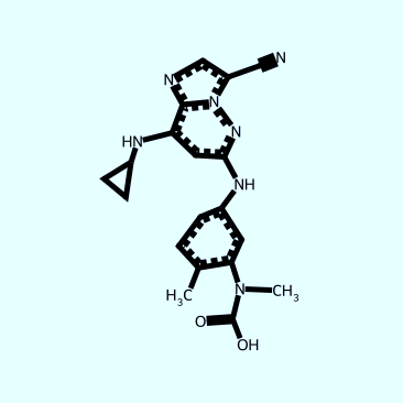 Cc1ccc(Nc2cc(NC3CC3)c3ncc(C#N)n3n2)cc1N(C)C(=O)O